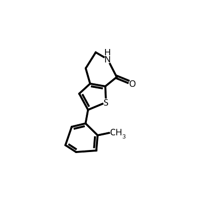 Cc1ccccc1-c1cc2c(s1)C(=O)NCC2